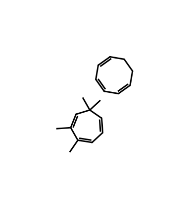 C1=CC=CCCC=C1.CC1=CC=CC(C)(C)C=C1C